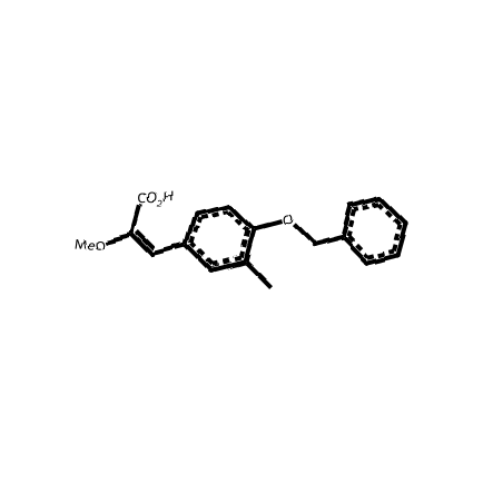 COC(=Cc1ccc(OCc2ccccc2)c(C)c1)C(=O)O